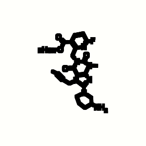 CC#CCn1c(N2CCCC(N)C2)nc2c1c(=O)n(Cc1nc(F)ccc1C(=O)OCCCCCC)c(=O)n2C